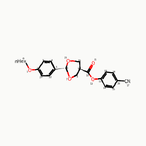 CCCCCCOc1ccc([C@H]2OC[C@H](C(=O)Oc3ccc(C#N)cc3)CO2)cc1